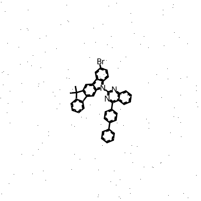 CC1(C)c2ccccc2-c2cc3c(cc21)c1cc(Br)ccc1n3-c1nc(-c2ccc(-c3ccccc3)cc2)c2ccccc2n1